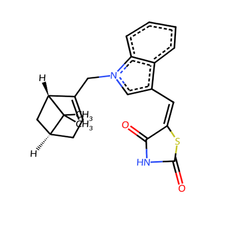 CC1(C)[C@H]2CC=C(Cn3cc(C=C4SC(=O)NC4=O)c4ccccc43)[C@H]1C2